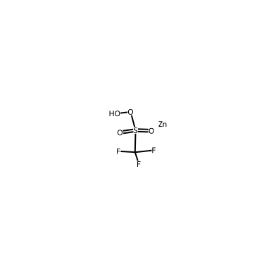 O=S(=O)(OO)C(F)(F)F.[Zn]